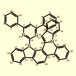 c1ccc(-c2cc(-c3ccccc3)nc(-n3c4ccccc4c4ccc5c6ccccc6n6c7ccccc7cc6c5c43)n2)cc1